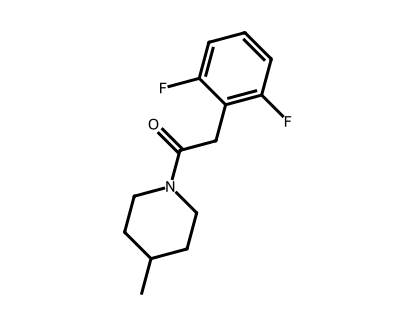 CC1CCN(C(=O)Cc2c(F)cccc2F)CC1